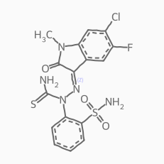 CN1C(=O)/C(=N\N(C(N)=S)c2ccccc2S(N)(=O)=O)c2cc(F)c(Cl)cc21